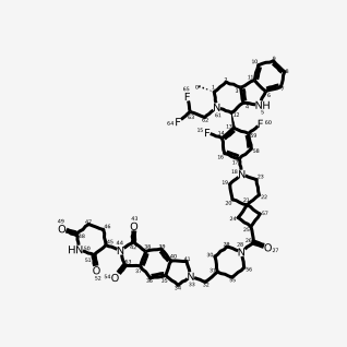 C[C@@H]1Cc2c([nH]c3ccccc23)[C@@H](c2c(F)cc(N3CCC4(CC3)CC(C(=O)N3CCC(CN5Cc6cc7c(cc6C5)C(=O)N(C5CCC(=O)NC5=O)C7=O)CC3)C4)cc2F)N1CC(F)F